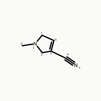 CN1[C]C(C#N)=CC1